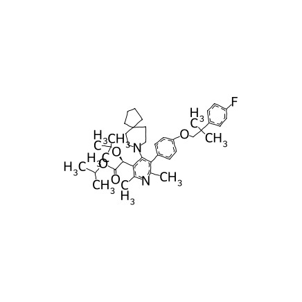 Cc1nc(C)c([C@H](OC(C)(C)C)C(=O)OC(C)C)c(N2CCC3(CCCC3)CC2)c1-c1ccc(OCC(C)(C)c2ccc(F)cc2)cc1